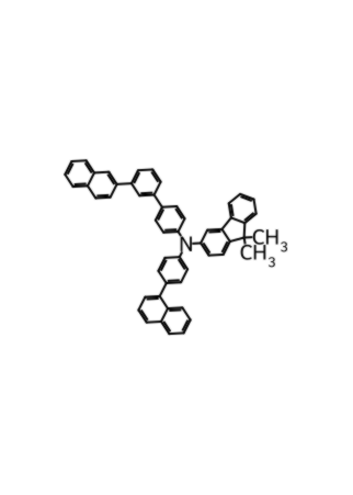 CC1(C)c2ccccc2-c2cc(N(c3ccc(-c4cccc(-c5ccc6ccccc6c5)c4)cc3)c3ccc(-c4cccc5ccccc45)cc3)ccc21